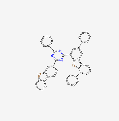 c1ccc(-c2cc(-c3nc(-c4ccccc4)nc(-c4ccc5c(c4)sc4ccccc45)n3)c3sc4c(-c5ccccc5)cccc4c3c2)cc1